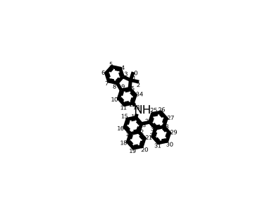 CC1(C)c2ccccc2-c2ccc(Nc3ccc4ccccc4c3-c3cccc4ccccc34)cc21